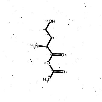 CC(=O)OC(=O)[C@@H](N)CCO